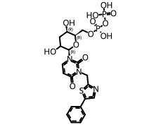 O=c1ccn([C@@H]2O[C@H](COP(=O)(O)OP(=O)(O)O)[C@H](O)CC2O)c(=O)n1Cc1ncc(-c2ccccc2)s1